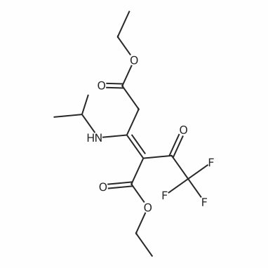 CCOC(=O)CC(NC(C)C)=C(C(=O)OCC)C(=O)C(F)(F)F